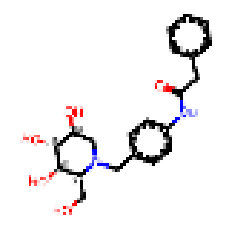 O=C(Cc1ccccc1)Nc1ccc(CN2C[C@H](O)[C@@H](O)[C@H](O)[C@@H]2CO)cc1